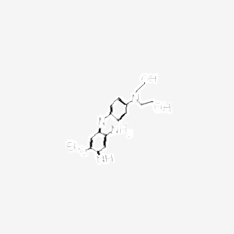 CCOC1=CC(=Nc2ccc(N(CCO)CCO)cc2)C(N)=CC1=N